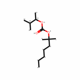 CCCCCC(C)(C)OC(=O)OC(C)C(C)C